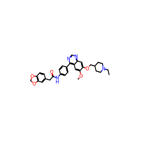 CCN1CCC(COc2cc3ncnc(-c4ccc(NC(=O)Cc5ccc6c(c5)OCO6)cc4)c3cc2OC)CC1